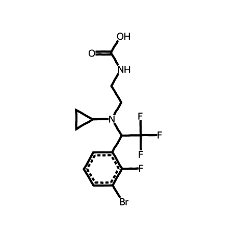 O=C(O)NCCN(C1CC1)C(c1cccc(Br)c1F)C(F)(F)F